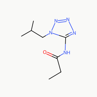 CCC(=O)Nc1nnnn1CC(C)C